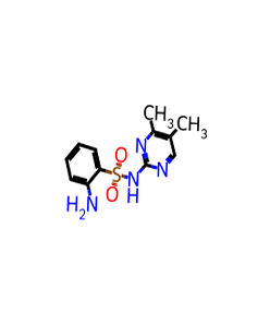 Cc1cnc(NS(=O)(=O)c2ccccc2N)nc1C